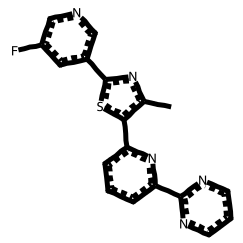 Cc1nc(-c2cncc(F)c2)sc1-c1cccc(-c2ncccn2)n1